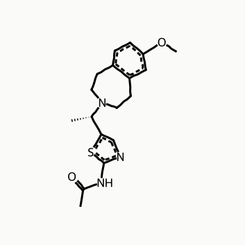 COc1ccc2c(c1)CCN([C@@H](C)c1cnc(NC(C)=O)s1)CC2